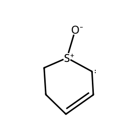 [O-][S+]1[C]C=CCC1